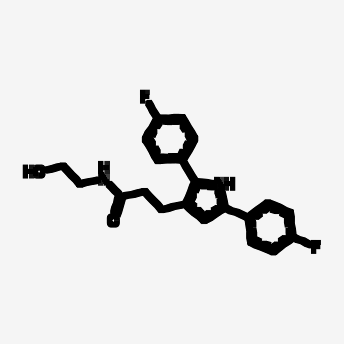 O=C(CCc1cc(-c2ccc(F)cc2)[nH]c1-c1ccc(F)cc1)NCCO